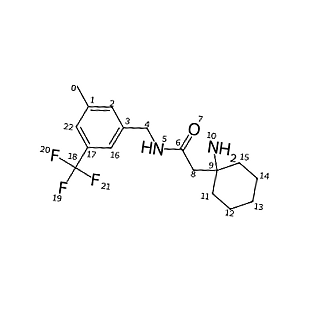 Cc1cc(CNC(=O)CC2(N)CCCCC2)cc(C(F)(F)F)c1